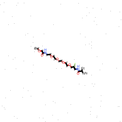 CCCC(CC)C(=O)NCC(F)COCCOCCOCCOCCNC(=O)COC(C)CC